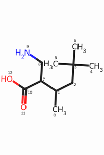 CC(CC(C)(C)C)C(CN)C(=O)O